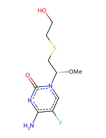 CO[C@@H](CSCCO)n1cc(F)c(N)nc1=O